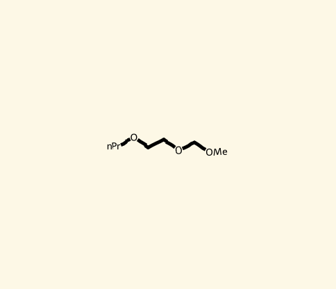 CCCOCCOCOC